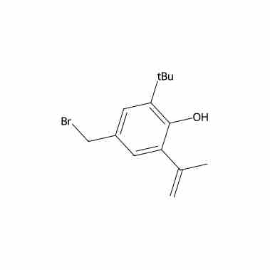 C=C(C)c1cc(CBr)cc(C(C)(C)C)c1O